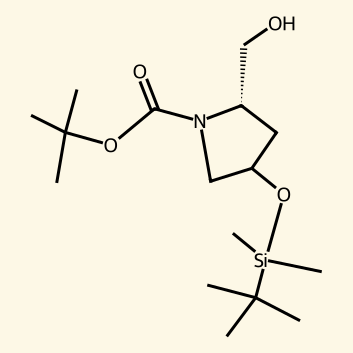 CC(C)(C)OC(=O)N1CC(O[Si](C)(C)C(C)(C)C)C[C@H]1CO